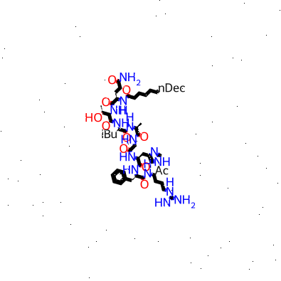 CCCCCCCCCCCCCCCC(=O)N[C@@H](CCC(N)=O)C(=O)N[C@H](C(=O)N[C@H](C(=O)N[C@@H](C)C(=O)NCC(=O)N[C@@H](Cc1c[nH]cn1)C(=O)N[C@@H](Cc1ccccc1)C(=O)N[C@@H](CCCNC(=N)N)C(C)=O)[C@@H](C)CC)[C@@H](C)O